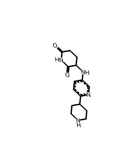 O=C1CCC(Nc2ccc(C3CCNCC3)nc2)C(=O)N1